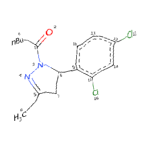 CCCCC(=O)N1N=C(C)CC1c1ccc(Cl)cc1Cl